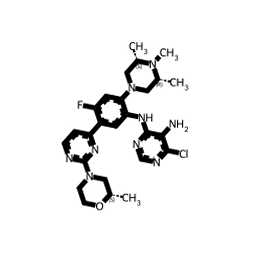 C[C@@H]1CN(c2cc(F)c(-c3ccnc(N4CCO[C@@H](C)C4)n3)cc2Nc2ncnc(Cl)c2N)C[C@H](C)N1C